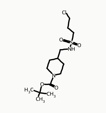 CC(C)(C)OC(=O)N1CCC(CNS(=O)(=O)CCCCl)CC1